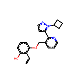 C=Cc1c(O)cccc1OCc1cccnc1-c1ccnn1C1CCC1